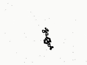 CC(C)OC[C@@]12CCCN1[C@H](COC(=O)N(C)C)CC2